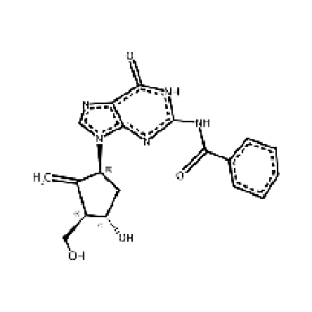 C=C1[C@H](CO)[C@@H](O)C[C@@H]1n1cnc2c(=O)[nH]c(NC(=O)c3ccccc3)nc21